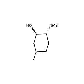 CN[C@@H]1CCN(C)C[C@H]1O